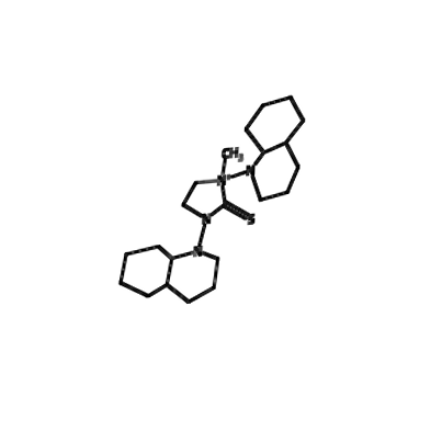 C[N+]1(N2CCCC3CCCCC32)CCN(N2CCCC3CCCCC32)C1=S